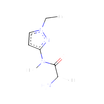 C[C](C)Cn1ccc(N(C)C(=O)[C@H](C)N)n1